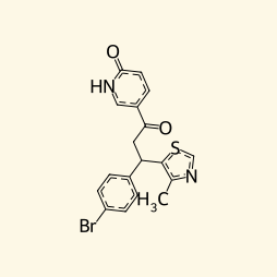 Cc1ncsc1C(CC(=O)c1ccc(=O)[nH]c1)c1ccc(Br)cc1